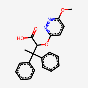 COc1ccc(OC(C(=O)O)C(C)(c2ccccc2)c2ccccc2)nn1